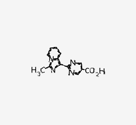 Cc1nc(-c2ncc(C(=O)O)cn2)c2ccccn12